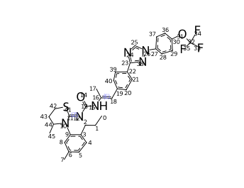 CCCc1ccc(C)cc1N1/C(=N/C(=O)N/C(C)=C/c2ccc(-c3ncn(-c4ccc(OC(F)(F)F)cc4)n3)cc2)SCCC1C